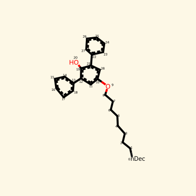 CCCCCCCCCCCCCCCCCCOc1cc(-c2ccccc2)c(O)c(-c2ccccc2)c1